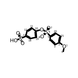 COc1ccc(S(=O)(=O)Oc2ccc(S(=O)(=O)O)cc2)cc1